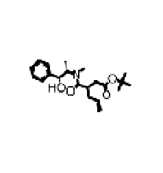 C=CCC(CC(=O)OC(C)(C)C)C(=O)N(C)[C@H](C)[C@H](O)c1ccccc1